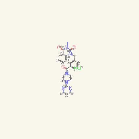 Cl.O=C(c1cccc(Cn2c(=O)[nH]c(=O)c3ccccc32)c1)N1CCN(c2ncccn2)CC1